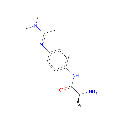 C/C(=N\c1ccc(NC(=O)[C@@H](N)C(C)C)cc1)N(C)C